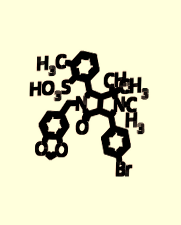 Cc1cccc(C2C3C(C(=O)N2Cc2ccc4c(c2)OCO4)C(c2ccc(Br)cc2)N(C)C3(C)C)c1S(=O)(=O)O